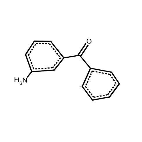 Nc1cccc(C(=O)c2[c]cccc2)c1